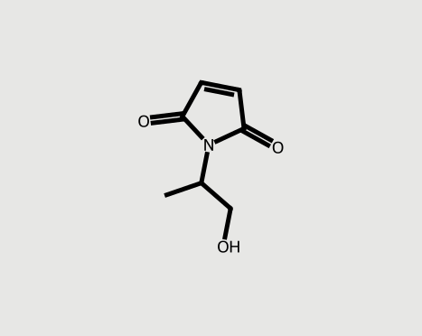 CC(CO)N1C(=O)C=CC1=O